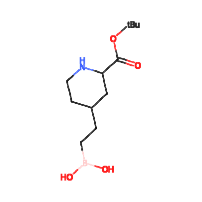 CC(C)(C)OC(=O)C1CC(CCB(O)O)CCN1